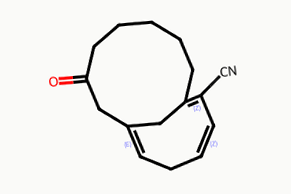 N#CC1=C2/CCCCCC(=O)C/C(=C/C/C=C\1)C2